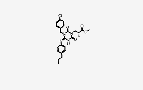 CCCc1ccc(/N=c2\[nH]c(=O)n(C[C@H](C)C(=O)OC)c(=O)n2Cc2ccc(Cl)cc2)cc1